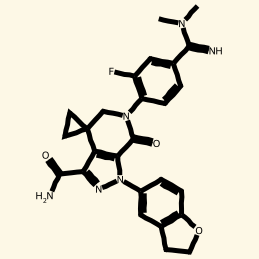 CN(C)C(=N)c1ccc(N2CC3(CC3)c3c(C(N)=O)nn(-c4ccc5c(c4)CCO5)c3C2=O)c(F)c1